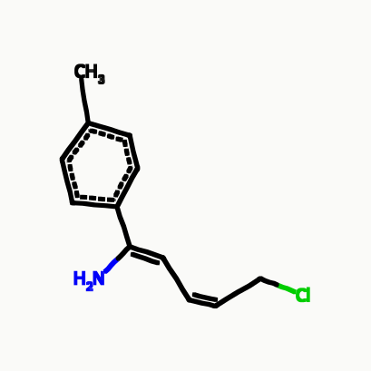 Cc1ccc(/C(N)=C/C=C\CCl)cc1